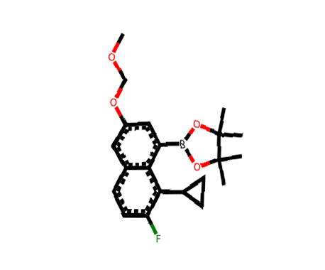 COCOc1cc(B2OC(C)(C)C(C)(C)O2)c2c(C3CC3)c(F)ccc2c1